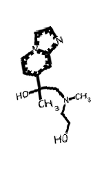 CN(CCO)CC(C)(O)c1ccn2ccnc2c1